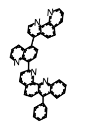 c1ccc(-c2c3ccccc3nc3c2ccc2ccc(-c4ccc(-c5ccnc6c5ccc5cccnc56)c5cccnc45)nc23)cc1